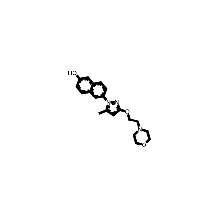 Cc1cc(OCCN2CCOCC2)nn1-c1ccc2cc(O)ccc2c1